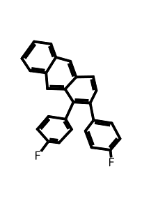 Fc1ccc(-c2ccc3cc4ccccc4cc3c2-c2ccc(F)cc2)cc1